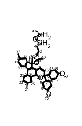 COc1ccc(C2(c3ccc(OC)cc3)C=Cc3c4c(c5ccc(C)cc5c3O2)-c2ccc(C)cc2C4(C)O[SiH](C)CCC[SiH2]O[SiH2]C)cc1